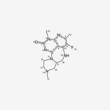 Cc1nc2c3c(nc(=O)n2I)N2CCN(C)CC2CNc3c1F